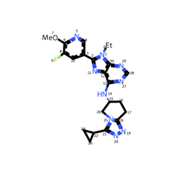 CCn1c(-c2cnc(OC)c(F)c2)nc2c(N[C@@H]3CCc4nnc(C5CC5)n4C3)ncnc21